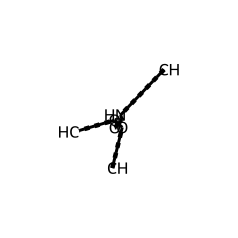 C#CC#CC#CC#CC#CC#CNCP(=O)(OC#CC#CC#CC#C)OC#CC#CC#CC#C